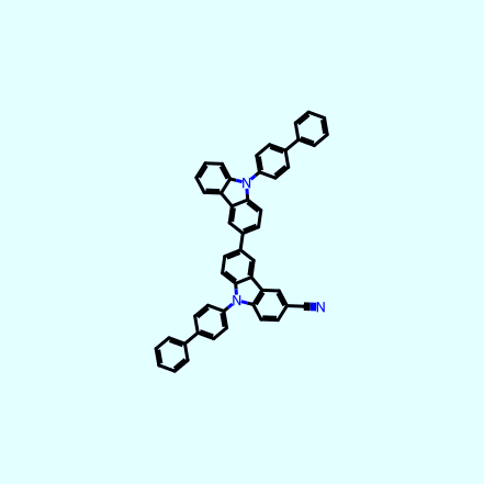 N#Cc1ccc2c(c1)c1cc(-c3ccc4c(c3)c3ccccc3n4-c3ccc(-c4ccccc4)cc3)ccc1n2-c1ccc(-c2ccccc2)cc1